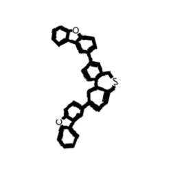 c1ccc2c(c1)oc1ccc(-c3ccc4c(c3)CSCc3ccc(-c5ccc6oc7ccccc7c6c5)cc3-4)cc12